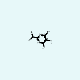 Fc1nc(C(F)F)nc(F)c1Cl